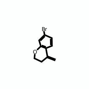 C=C1CCOc2cc(Br)ccc21